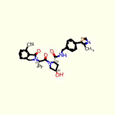 Cc1ncsc1-c1ccc(CNC(=O)[C@@H]2C[C@@H](O)CN2C(=O)[C@H](C(C)C)N2Cc3cccc(C#N)c3C2=O)cc1